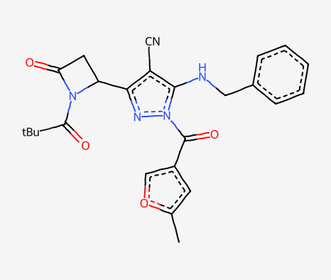 Cc1cc(C(=O)n2nc(C3CC(=O)N3C(=O)C(C)(C)C)c(C#N)c2NCc2ccccc2)co1